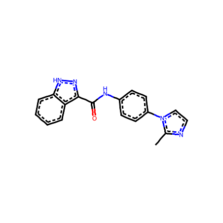 Cc1nccn1-c1ccc(NC(=O)c2n[nH]c3ccccc23)cc1